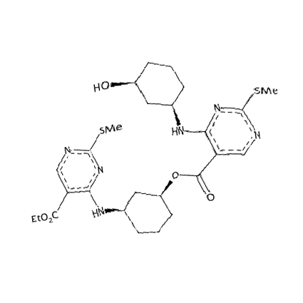 CCOC(=O)c1cnc(SC)nc1N[C@@H]1CCC[C@H](OC(=O)c2cnc(SC)nc2N[C@@H]2CCC[C@H](O)C2)C1